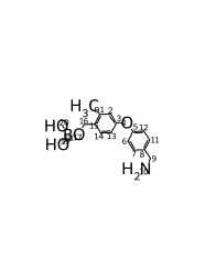 Cc1cc(Oc2ccc(CN)cc2)ccc1COB(O)O